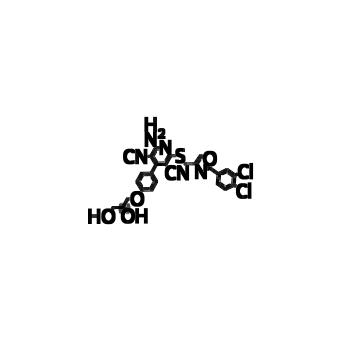 [C-]#[N+]c1c(N)nc(SCc2coc(-c3ccc(Cl)c(Cl)c3)n2)c(C#N)c1-c1ccc(OC[C@@H](O)CO)cc1